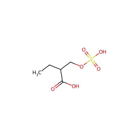 CCC(COS(=O)(=O)O)C(=O)O